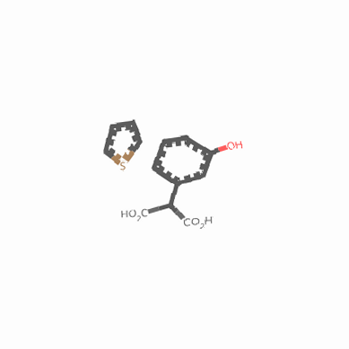 O=C(O)C(C(=O)O)c1cccc(O)c1.c1ccsc1